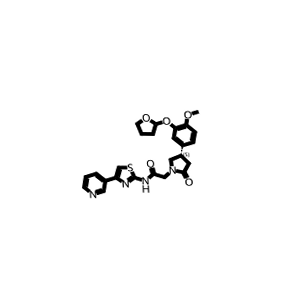 COc1ccc([C@@H]2CC(=O)N(CC(=O)Nc3nc(-c4cccnc4)cs3)C2)cc1OC1CCCO1